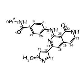 CCCNC(=O)c1ccc(Nc2nc(-c3cnn(C)c3)cc3cc[nH]c(=O)c23)cc1